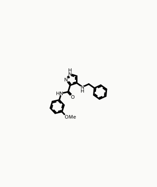 COc1cccc(NC(=O)c2n[nH]cc2NCc2ccccc2)c1